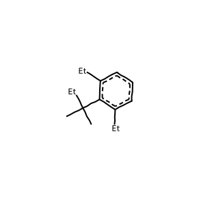 CCc1cccc(CC)c1C(C)(C)CC